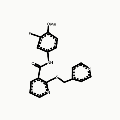 COc1ccc(NC(=O)c2cccnc2SCc2ccncc2)cc1F